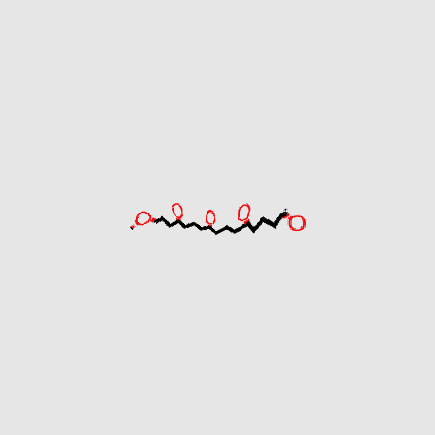 COCCCC(=O)CCCC(=O)CCCC(=O)CCC[C]=O